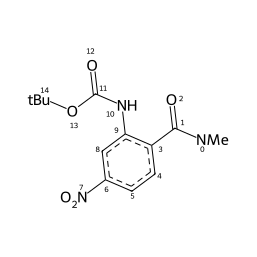 CNC(=O)c1ccc([N+](=O)[O-])cc1NC(=O)OC(C)(C)C